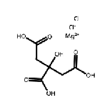 O=C(O)CC(O)(CC(=O)O)C(=O)O.[Cl-].[Cl-].[Mg+2]